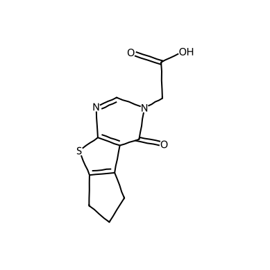 O=C(O)Cn1cnc2sc3c(c2c1=O)CCC3